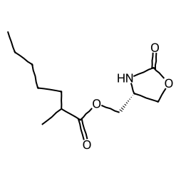 CCCCCC(C)C(=O)OC[C@H]1COC(=O)N1